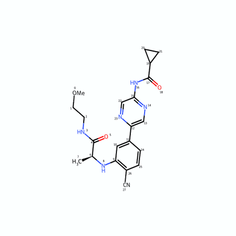 COCCNC(=O)[C@H](C)Nc1cc(-c2cnc(NC(=O)C3CC3)cn2)ccc1C#N